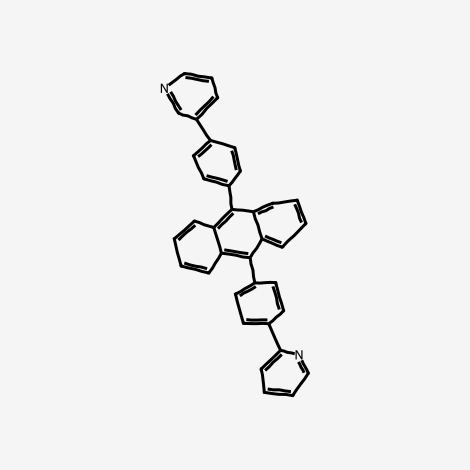 c1ccc(-c2ccc(-c3c4ccccc4c(-c4ccc(-c5cccnc5)cc4)c4ccccc34)cc2)nc1